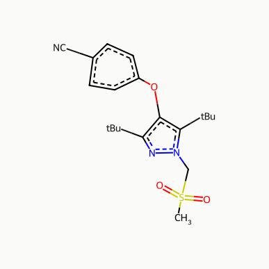 CC(C)(C)c1nn(CS(C)(=O)=O)c(C(C)(C)C)c1Oc1ccc(C#N)cc1